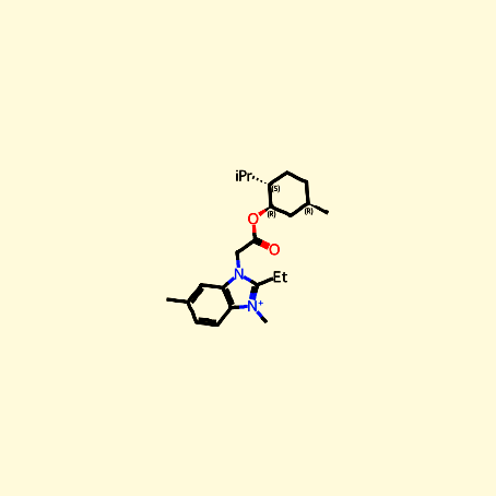 CCc1n(CC(=O)O[C@@H]2C[C@H](C)CC[C@H]2C(C)C)c2cc(C)ccc2[n+]1C